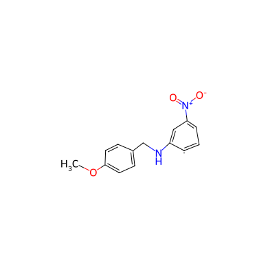 COc1ccc(CNc2[c]ccc([N+](=O)[O-])c2)cc1